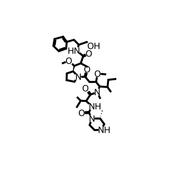 CCC(C)C(C(CC(=O)N1CCC[C@H]1C(OC)C(C)C(=O)NC(CO)Cc1ccccc1)OC)N(C)C(=O)C(NC(=O)N1CCNC[C@H]1C)C(C)C